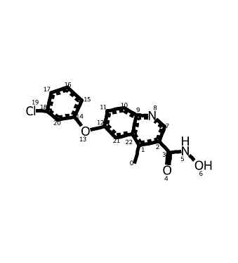 Cc1c(C(=O)NO)cnc2ccc(Oc3cccc(Cl)c3)cc12